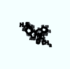 CCC(=O)NC1=C(Cc2ccccc2)c2cc(C)ccc2CC1